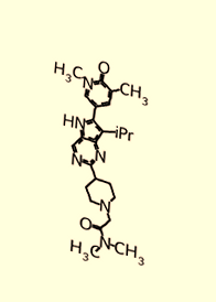 Cc1cc(-c2[nH]c3cnc(C4CCN(CC(=O)N(C)C)CC4)nc3c2C(C)C)cn(C)c1=O